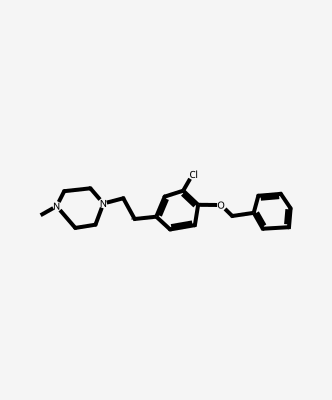 CN1CCN(C[CH]c2ccc(OCc3ccccc3)c(Cl)c2)CC1